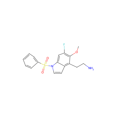 COc1c(F)cc2c(ccn2S(=O)(=O)c2ccccc2)c1CCN